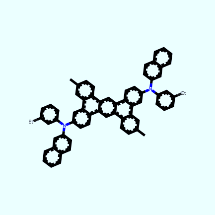 CCc1cccc(N(c2ccc3ccccc3c2)c2ccc3c(c2)c2cc(C)ccc2c2cc4c5ccc(N(c6cccc(CC)c6)c6ccc7ccccc7c6)cc5c5cc(C)ccc5c4cc32)c1